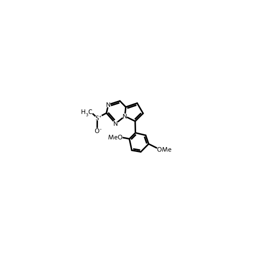 COc1ccc(OC)c(-c2ccc3cnc([S+](C)[O-])nn23)c1